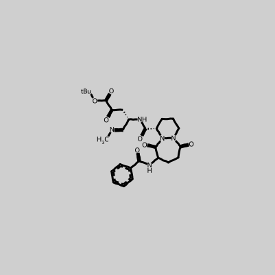 C/N=C/[C@H](CC(=O)C(=O)OC(C)(C)C)NC(=O)[C@@H]1CCCN2C(=O)CCC(NC(=O)c3ccccc3)C(=O)N12